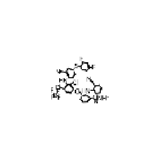 F[B-](F)(F)F.N#Cc1cc(Sc2ccc(F)cc2F)ccc1Nc1c(Cl)cccc1Cl.N#Cc1ccccc1Nc1c(Cl)cccc1Cl.N#[NH+]